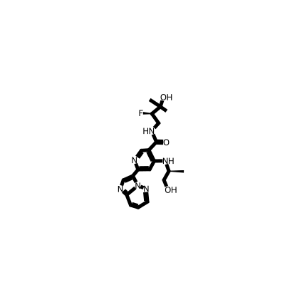 C[C@@H](CO)Nc1cc(-c2cnc3cccnn23)ncc1C(=O)NC[C@@H](F)C(C)(C)O